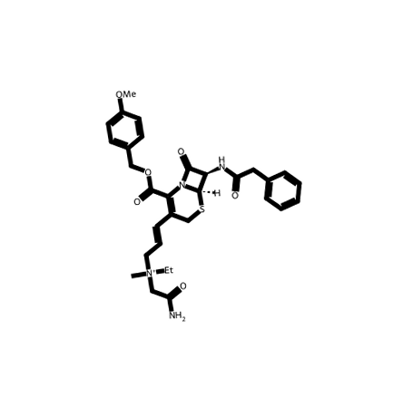 CC[N+](C)(C/C=C/C1=C(C(=O)OCc2ccc(OC)cc2)N2C(=O)[C@@H](NC(=O)Cc3ccccc3)[C@H]2SC1)CC(N)=O